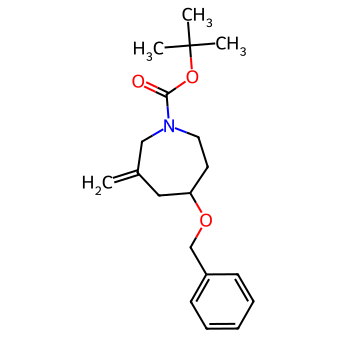 C=C1CC(OCc2ccccc2)CCN(C(=O)OC(C)(C)C)C1